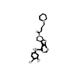 O=C(C=CCN1CCCCC1)N1CCc2c(sc3ncnc(Nc4ccc(Cl)c(Cl)c4)c23)C1